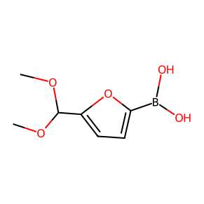 COC(OC)c1ccc(B(O)O)o1